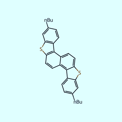 CCCCc1ccc2c(c1)sc1ccc3c(ccc4sc5cc(CCCC)ccc5c43)c12